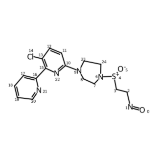 O=NCC[S+]([O-])N1CCN(c2ccc(Cl)c(-c3ccccn3)n2)CC1